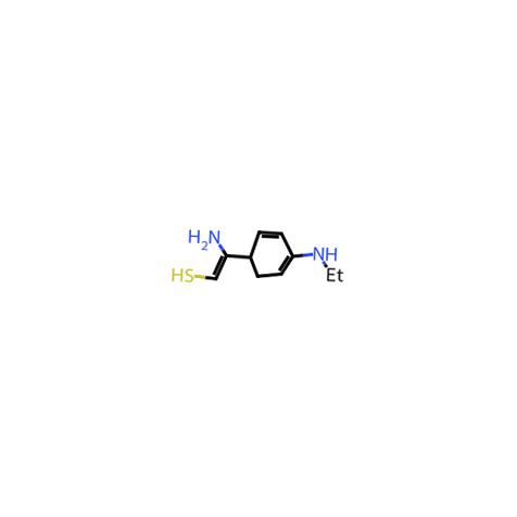 CCNC1=CCC(/C(N)=C/S)C=C1